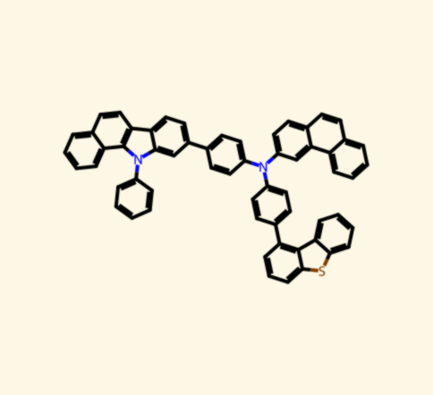 c1ccc(-n2c3cc(-c4ccc(N(c5ccc(-c6cccc7sc8ccccc8c67)cc5)c5ccc6ccc7ccccc7c6c5)cc4)ccc3c3ccc4ccccc4c32)cc1